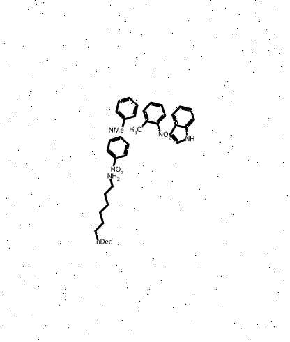 CCCCCCCCCCCCCCCCN.CNc1ccccc1.Cc1ccccc1[N+](=O)[O-].O=[N+]([O-])c1ccccc1.c1ccc2[nH]ccc2c1